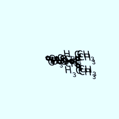 CC(C)(C)c1ccc([S+](c2ccc(C(C)(C)C)cc2)c2ccc(C(C)(C)C)cc2)cc1.O=S(=O)([O-])c1cccc2c(OS(=O)(=O)c3ccccc3)cccc12